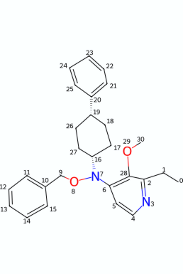 CCc1nccc(N(OCc2ccccc2)[C@H]2CC[C@@H](c3ccccc3)CC2)c1OC